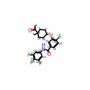 CC(=O)C1(C)CCC(Sc2cc(C(=O)Nc3cc(F)c(F)c(F)c3)ccc2F)CC1